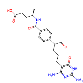 C[C@H](CCC(=O)O)NC(=O)c1ccc(C(C=O)CCCc2c(N)nc(N)[nH]c2=O)cc1